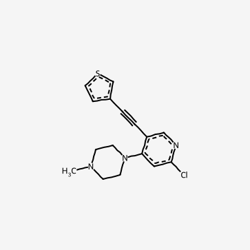 CN1CCN(c2cc(Cl)ncc2C#Cc2ccsc2)CC1